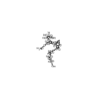 C=C1C[C@H]2C(O)N(C(=O)OCc3ccc(O[C@@H]4O[C@H](C(=O)O)[C@@H](O)[C@H](O)[C@H]4O)c(C(=O)NCCOCCON)c3)c3cc(OCCCC(=O)Nc4cc(C(=O)Nc5nc(C(=O)NCCCO)cs5)n(C)c4)c(OC)cc3C(=O)N2C1